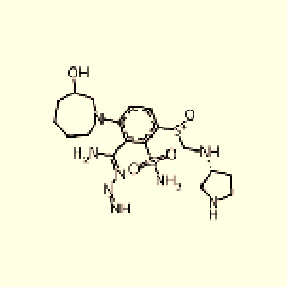 N=N/N=C(\N)c1c(N2CCCCC(O)C2)ccc([S+]([O-])CN[C@@H]2CCNC2)c1S(N)(=O)=O